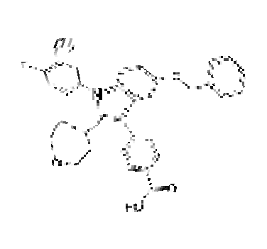 Cc1cc(-n2c(C3CCOCC3)c(-c3ccc(C(=O)O)cc3)c3cc(OCc4ccccc4)ccc32)ccc1F